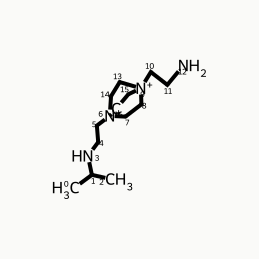 CC(C)NCC[N+]12CC[N+](CCN)(CC1)CC2